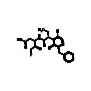 CCC(C(=O)NC(CC(=O)O)C(=O)CF)c1c(Cl)cnn(Cc2ccccc2)c1=O